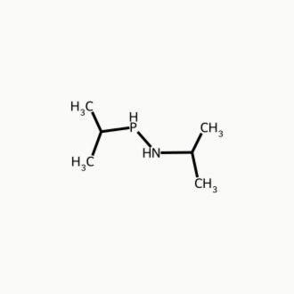 CC(C)NPC(C)C